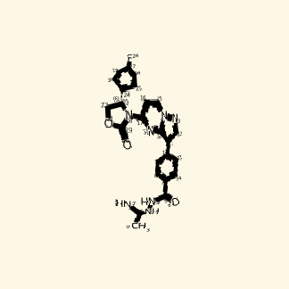 CC(=N)NNC(=O)c1ccc(-c2cnn3ccc(N4C(=O)OC[C@@H]4c4ccc(F)cc4)nc23)cc1